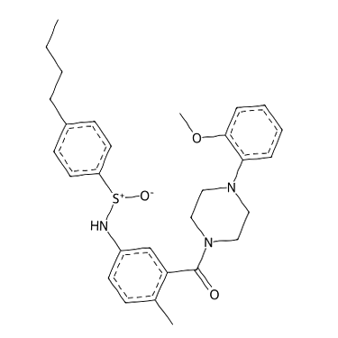 CCCCc1ccc([S+]([O-])Nc2ccc(C)c(C(=O)N3CCN(c4ccccc4OC)CC3)c2)cc1